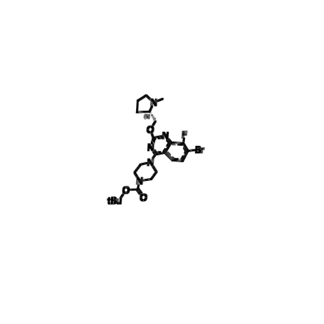 CN1CCC[C@H]1COc1nc(N2CCN(C(=O)OC(C)(C)C)CC2)c2ccc(Br)c(F)c2n1